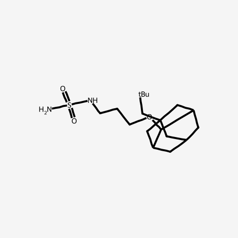 CC(C)(C)CC12CC3CC(C1)C(OCCCNS(N)(=O)=O)C(C3)C2